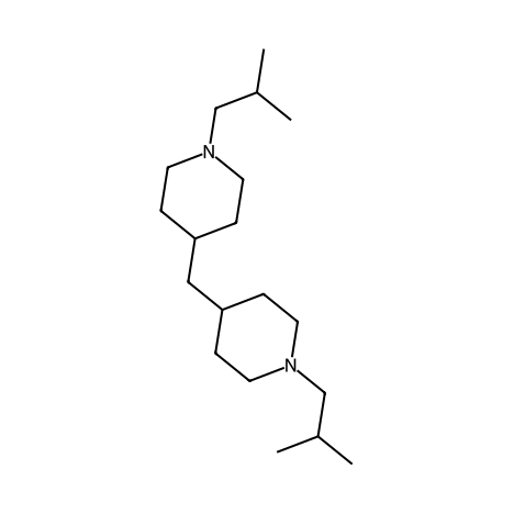 CC(C)CN1CCC(CC2CCN(CC(C)C)CC2)CC1